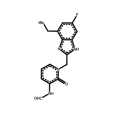 CC(C)(C)Cc1cc(F)cc2[nH]c(Cn3cccc(NC=O)c3=O)nc12